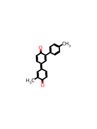 CC1=C/C(=C2\C=CC(=O)C(c3ccc(C)cc3)=C2)C=CC1=O